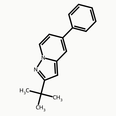 CC(C)(C)c1cc2cc(-c3ccccc3)ccn2n1